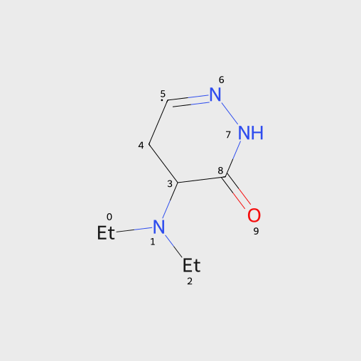 CCN(CC)C1C[C]=NNC1=O